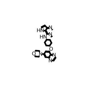 C=N/C(N[C@H]1CC[C@@H](Oc2cc(N3CCOCC3)cc3nccnc23)CC1)=C1/NC=C/C1=N/C